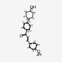 CC(C)Oc1ccc(/C=C/C(=O)c2ccc(N3CCC(O)CC3)cc2)cc1